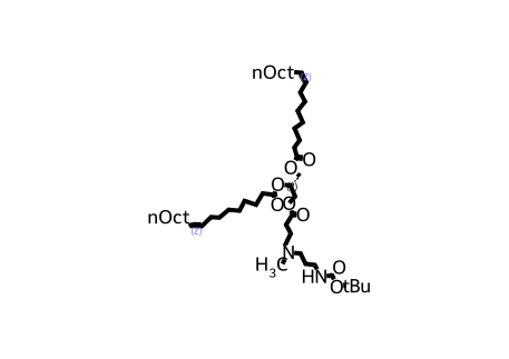 CCCCCCCC/C=C\CCCCCCCC(=O)OC[C@H](COC(=O)CCCN(C)CCCNC(=O)OC(C)(C)C)OC(=O)CCCCCCC/C=C\CCCCCCCC